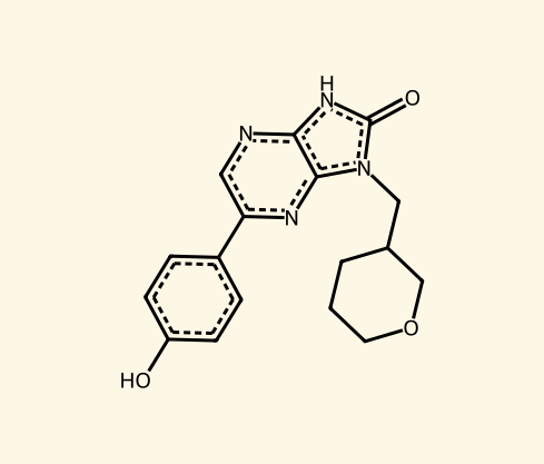 O=c1[nH]c2ncc(-c3ccc(O)cc3)nc2n1CC1CCCOC1